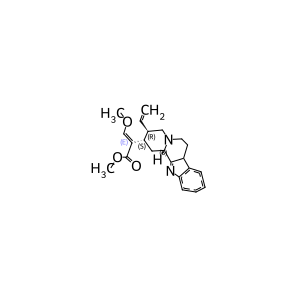 C=C[C@H]1CN2CCC3C(=Nc4ccccc43)[C@@H]2C[C@@H]1/C(=C\OC)C(=O)OC